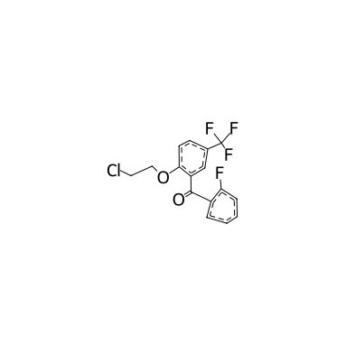 O=C(c1ccccc1F)c1cc(C(F)(F)F)ccc1OCCCl